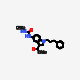 CONC(=O)Nc1ccc2c(c1)c(C(=O)OC)cn2CCCc1ccccc1